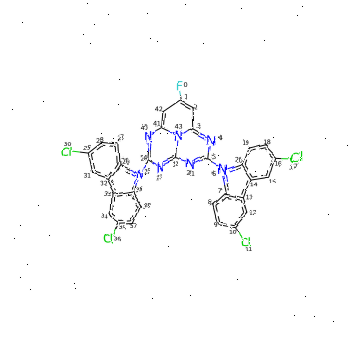 FC1=CC2=NC(n3c4ccc(Cl)cc4c4cc(Cl)ccc43)=NC3=NC(n4c5ccc(Cl)cc5c5cc(Cl)ccc54)=NC(=C1)N23